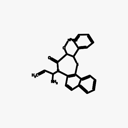 C=CC(N)N1C(=O)C(OCCCCC)C(c2ccccc2)Sc2c1ccc1ccccc21